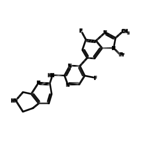 Cc1nc2c(F)cc(-c3nc(Nc4ccc5c(n4)CNCC5)ncc3F)cc2n1C(C)C